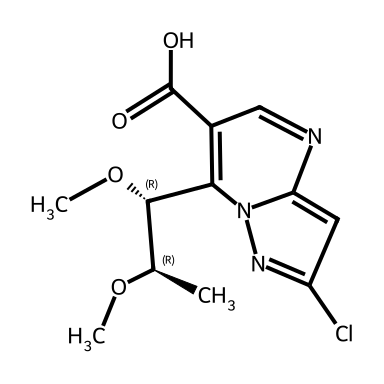 CO[C@H](c1c(C(=O)O)cnc2cc(Cl)nn12)[C@@H](C)OC